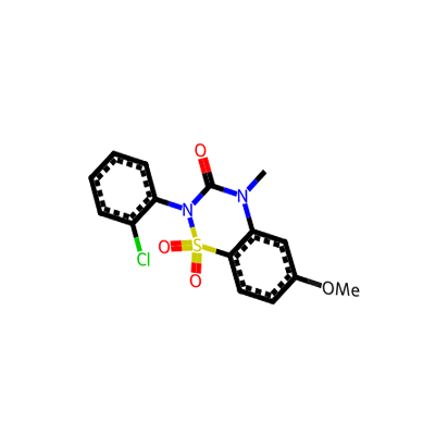 COc1ccc2c(c1)N(C)C(=O)N(c1ccccc1Cl)S2(=O)=O